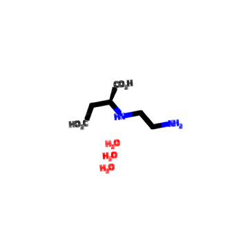 NCCN[C@@H](CC(=O)O)C(=O)O.O.O.O